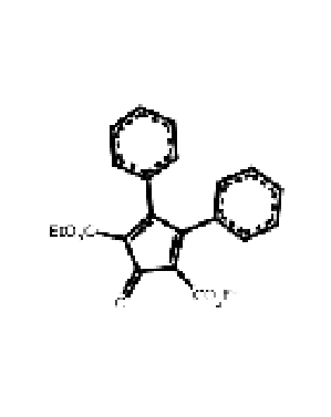 CCOC(=O)C1=C(c2ccccc2)C(c2ccccc2)=C(C(=O)OCC)C1=O